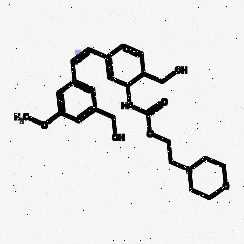 COc1cc(/C=C\C2=CC(NC(=O)OCCN3CCOCC3)C(CO)C=C2)cc(CO)c1